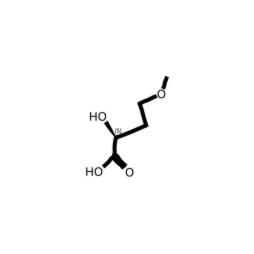 COCC[C@H](O)C(=O)O